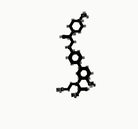 CCCN(C(N)=S)c1cc(-c2ccc(OCC(=O)N3CCN(C)CC3)cc2)ccc1C